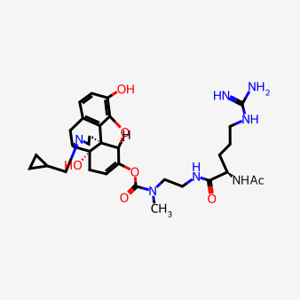 CC(=O)N[C@H](CCCNC(=N)N)C(=O)NCCN(C)C(=O)OC1=CC[C@@]2(O)C3Cc4ccc(O)c5c4[C@@]2(CCN3CC2CC2)[C@H]1O5